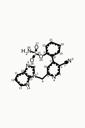 N#Cc1cnc(Cn2cnc3cccnc32)cc1-c1ccccc1OS(N)(=O)=O